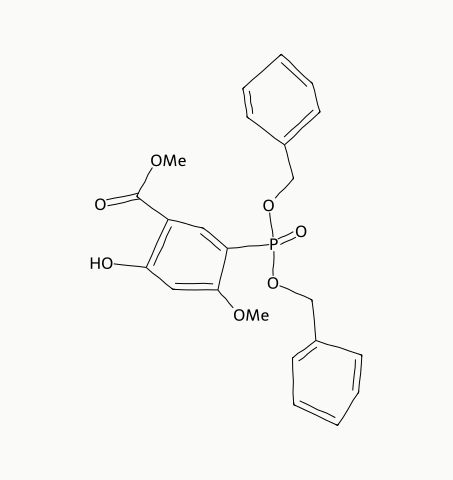 COC(=O)c1cc(P(=O)(OCc2ccccc2)OCc2ccccc2)c(OC)cc1O